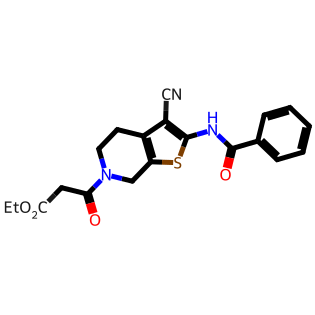 CCOC(=O)CC(=O)N1CCc2c(sc(NC(=O)c3ccccc3)c2C#N)C1